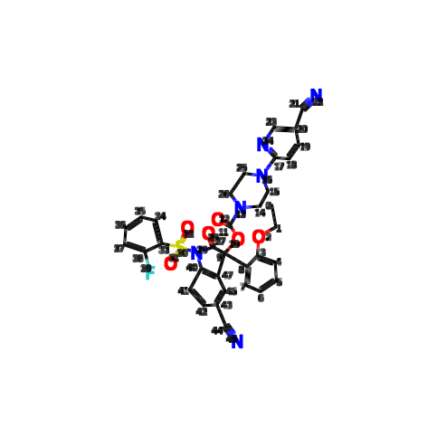 CCOc1ccccc1C1(OC(=O)N2CCN(c3ccc(C#N)cn3)CC2)C(=O)N(S(=O)(=O)c2ccccc2F)c2ccc(C#N)cc21